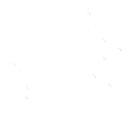 CC(C)(C)OC(=O)n1nc(F)c2cc(C#Cc3ccnc(-c4ccnc(NCc5cccnc5F)n4)n3)ccc21